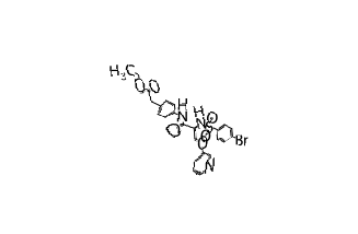 CCOC(=O)Cc1ccc(NC(=O)C(COc2cccnc2)NS(=O)(=O)c2ccc(Br)cc2)cc1